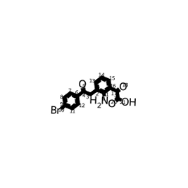 Nc1c(CC(=O)c2ccc(Br)cc2)cccc1C(=O)C(=O)O